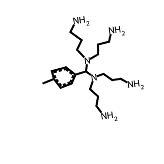 Cc1ccc(C(N(CCCN)CCCN)N(CCCN)CCCN)cc1